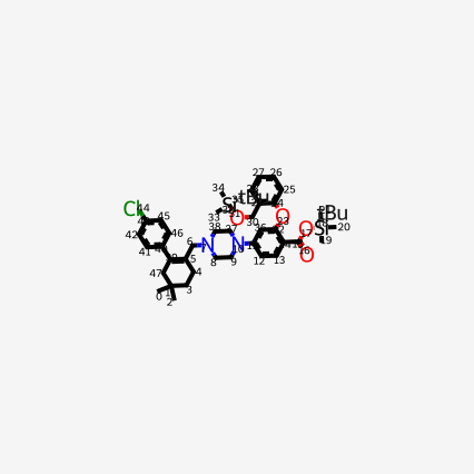 CC1(C)CCC(CN2CCN(c3ccc(C(=O)O[Si](C)(C)C(C)(C)C)c(Oc4ccccc4CO[Si](C)(C)C(C)(C)C)c3)CC2)=C(c2ccc(Cl)cc2)C1